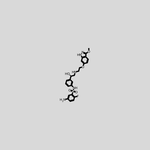 COc1n[nH]c2cc(OCCNC[C@H](O)c3cccc(NS(=O)(=O)c4cc(N)ccc4F)c3)ccc12